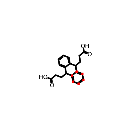 O=C(O)CCC12c3ccccc3C(CCC(=O)O)(c3ccccc31)c1ccccc12